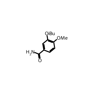 COc1ccc(C(N)=O)cc1OCC(C)C